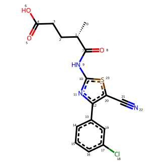 C[C@@H](CCC(=O)O)C(=O)Nc1nc(-c2cccc(Cl)c2)c(C#N)s1